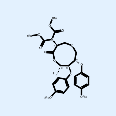 COc1ccc(O[C@H]2[C@H](C)OC(=O)[C@@H](N(C(=O)OC(C)(C)C)C(=O)OC(C)(C)C)COC[C@@H]2Oc2ccc(OC)cc2)cc1